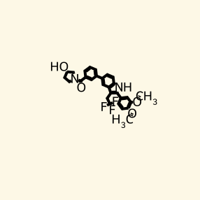 COc1ccc(-c2[nH]c3ccc(-c4cccc(C(=O)N5CCC(O)C5)c4)cc3c2CC(F)(F)F)cc1OC